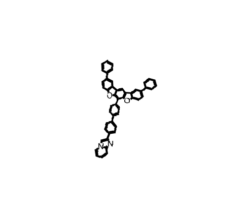 c1ccc(-c2ccc3oc4c(-c5ccc(-c6ccc(-c7cn8ccccc8n7)cc6)cc5)c5oc6ccc(-c7ccccc7)cc6c5cc4c3c2)cc1